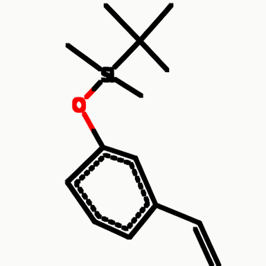 C=Cc1cccc(O[Si](C)(C)C(C)(C)C)c1